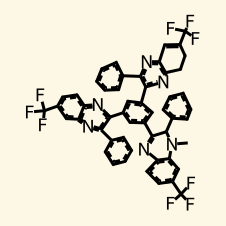 CN1c2cc(C(F)(F)F)ccc2N=C(c2cc(-c3nc4c(nc3-c3ccccc3)C=C(C(F)(F)F)CC4)cc(-c3nc4ccc(C(F)(F)F)cc4nc3-c3ccccc3)c2)C1c1ccccc1